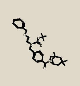 CC1(C)CC2CC(C)(CN2C(=O)c2ccc(CN(CCOCc3ccccc3)C(=O)OC(C)(C)C)cc2)C1